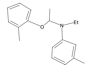 CCN(c1cccc(C)c1)C(C)Oc1ccccc1C